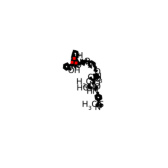 Cc1ncsc1-c1ccc(CNC(=O)[C@@H]2C[C@@H](O)CN2C(=O)C(c2cc(OCCN3CCC(OC4CC(Oc5cc(N6C7CC[C@@H]6CN(c6cc(-c8ccccc8O)nnc6N)C7)ccn5)C4)CC3)no2)C(C)C)cc1